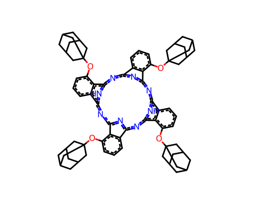 c1cc(OC23CC4CC(CC(C4)C2)C3)c2c(c1)-c1nc-2nc2[nH]c(nc3nc(nc4[nH]c(n1)c1c(OC56CC7CC(CC(C7)C5)C6)cccc41)-c1c(OC45CC6CC(CC(C6)C4)C5)cccc1-3)c1c(OC34CC5CC(CC(C5)C3)C4)cccc21